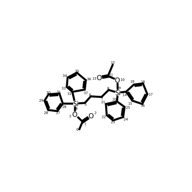 CC(=O)O[Si](CCCC[Si](OC(C)=O)(c1ccccc1)c1ccccc1)(c1ccccc1)c1ccccc1